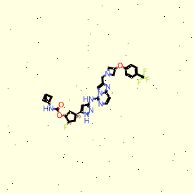 O=C(NC12CC(C1)C2)O[C@H]1C[C@@H](c2cc(Nc3nccc4nc(CN5CC(Oc6ccc(C(F)(F)F)cc6)C5)cn34)n[nH]2)C[C@H]1F